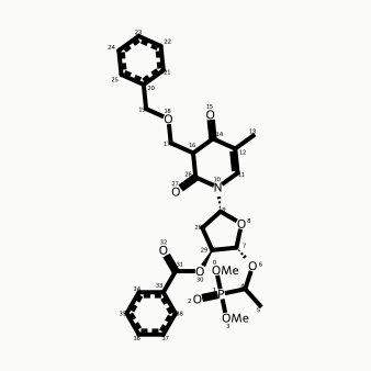 COP(=O)(OC)C(C)O[C@H]1O[C@@H](N2C=C(C)C(=O)C(COCc3ccccc3)C2=O)C[C@@H]1OC(=O)c1ccccc1